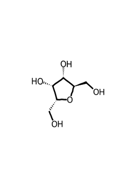 OC[C@H]1O[C@H](CO)[C@@H](O)[C@H]1O